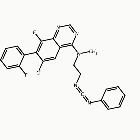 CN(CCN=C=Nc1ccccc1)c1ncnc2c(F)c(-c3ccccc3F)c(Cl)cc12